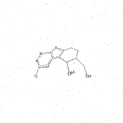 OCC1CCc2sc3nnc(Cl)cc3c2C1O